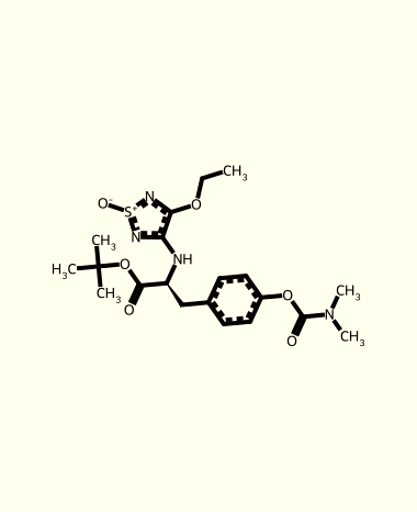 CCOc1n[s+]([O-])nc1N[C@@H](Cc1ccc(OC(=O)N(C)C)cc1)C(=O)OC(C)(C)C